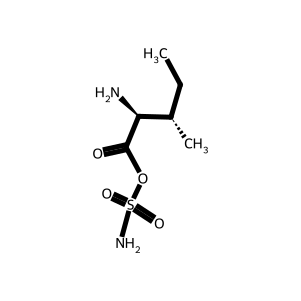 CC[C@H](C)[C@H](N)C(=O)OS(N)(=O)=O